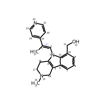 C/C(=C\n1c2c(c3cccc(CO)c31)CN(C)CC2)c1ccncc1